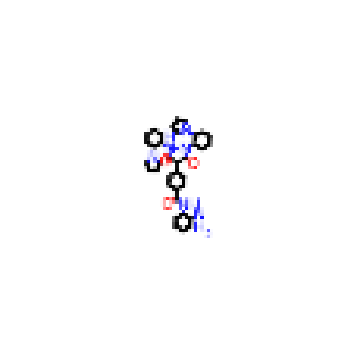 Nc1ccccc1NC(=O)c1ccc(C(C(=O)Nc2ccccc2-n2cccc2)C(=O)Nc2ccccc2-n2cccc2)cc1